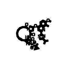 COc1ccc2c(OC3CC4C(=O)NC5(C(=O)NS(=O)(=O)C6(C)CC6)CC5/C=C\CCCCCC(=O)N4C3)cc(-c3nc(C(C)C)cs3)nc2c1C